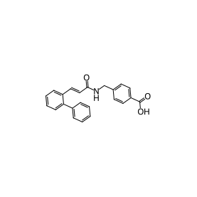 O=C(C=Cc1ccccc1-c1ccccc1)NCc1ccc(C(=O)O)cc1